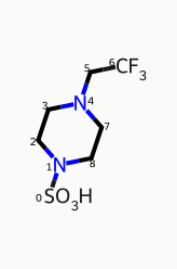 O=S(=O)(O)N1CCN(CC(F)(F)F)CC1